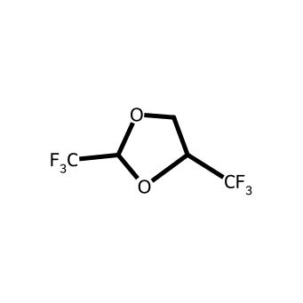 FC(F)(F)C1COC(C(F)(F)F)O1